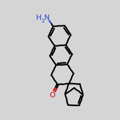 Nc1ccc2cc3c(cc2c1)CC(=O)C1(CC2=CCC1C2)C3